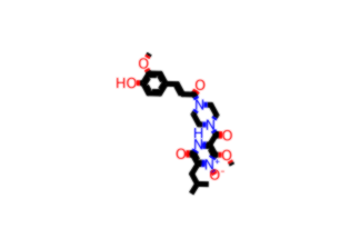 COc1cc(C=CC(=O)N2CCN(C(=O)c3[nH]c(=O)c(CC(C)C)[n+]([O-])c3OC)CC2)ccc1O